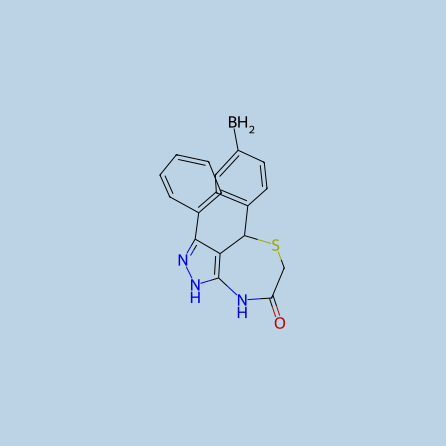 Bc1ccc(C2SCC(=O)Nc3[nH]nc(-c4ccccc4)c32)cc1